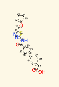 O=C(O)C[C@H]1CC[C@H](c2ccc(C(=O)Nc3nnc(COC4CCCC4)s3)cc2)CC1